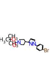 CC(C)(C)OC(=O)N1CCC(c2ccn(-c3ccc(Br)cc3)n2)CC1